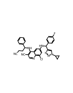 N#CCCC(Nc1c(C#N)cnc2c(Cl)cc(NC(c3ccc(F)cc3)c3cn(C4CC4)nn3)cc12)c1ccccc1